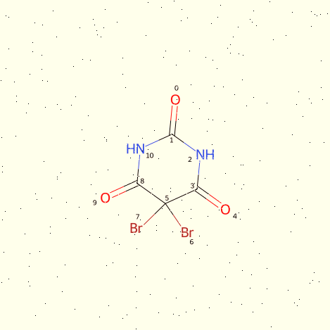 O=C1NC(=O)C(Br)(Br)C(=O)N1